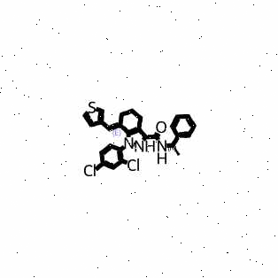 C[C@@H](NC(=O)C1NN(c2ccc(Cl)cc2Cl)C2=C1CCC/C2=C\c1ccsc1)c1ccccc1